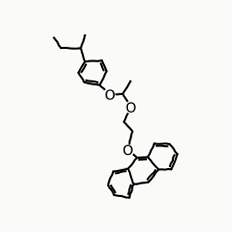 CCC(C)c1ccc(OC(C)OCCOc2c3ccccc3cc3ccccc23)cc1